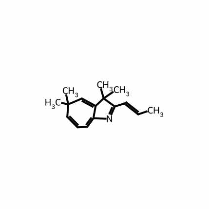 C/C=C/C1=NC2=CC=CC(C)(C)C=C2C1(C)C